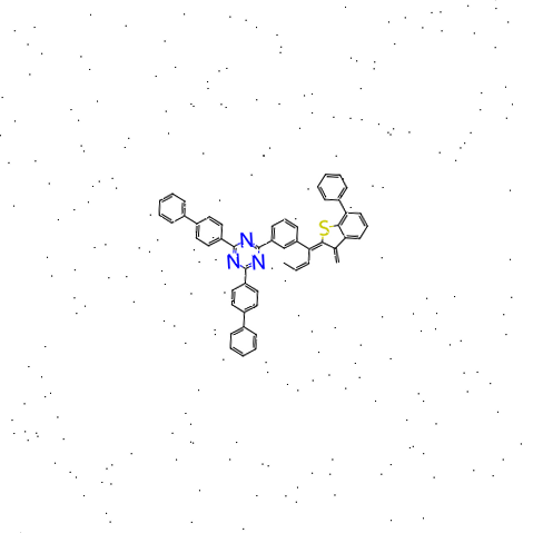 C=c1/c(=C(\C=C/C)c2cccc(-c3nc(-c4ccc(-c5ccccc5)cc4)nc(-c4ccc(-c5ccccc5)cc4)n3)c2)sc2c(-c3ccccc3)cccc12